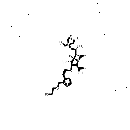 CC[Si](CC)(CC)O[C@H](C)[C@H]1C(=O)N2C(C(=O)O)=C(S/C=C\c3scnc3COCCO)[C@H](C)[C@H]12